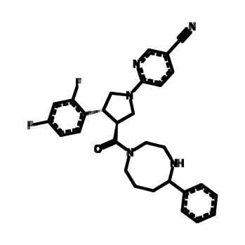 N#Cc1ccc(N2C[C@@H](C(=O)N3CCCC(c4ccccc4)NCC3)[C@H](c3ccc(F)cc3F)C2)nc1